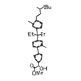 CCC(CC)(c1ccc(CCC(C)C(C)(C)C)c(C)c1)c1ccc(-c2ccc(C(O)C(=O)OC)cc2)c(C)c1